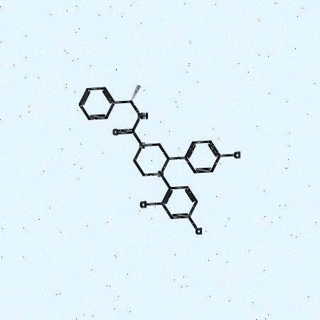 C[C@H](NC(=O)N1CCN(c2ccc(Cl)cc2Cl)C(c2ccc(Cl)cc2)C1)c1ccccc1